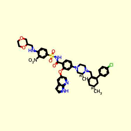 C[C@@H]1CCC(CN2CCN(c3ccc(C(=O)NS(=O)(=O)c4ccc(NCC5COCCO5)c([N+](=O)[O-])c4)c(Oc4cnc5[nH]ccc5c4)c3)C[C@H]2C)=C(c2ccc(Cl)cc2)C1